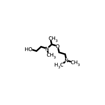 CC(OCCN(C)C)N(C)CCO